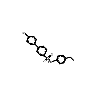 CCc1ccc(NS(=O)(=O)c2ccc(-c3ccc(Br)cc3)cc2)cc1